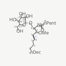 CCCCCCCCCCCCC/C=C/[C@H](OC)[C@H](CO[C@@H]1OC(CO)[C@@H](O)C(O)[C@@H]1O)NC(=O)CCCCC